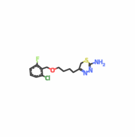 NC1=NN=C(CCCCOCc2c(F)cccc2Cl)CS1